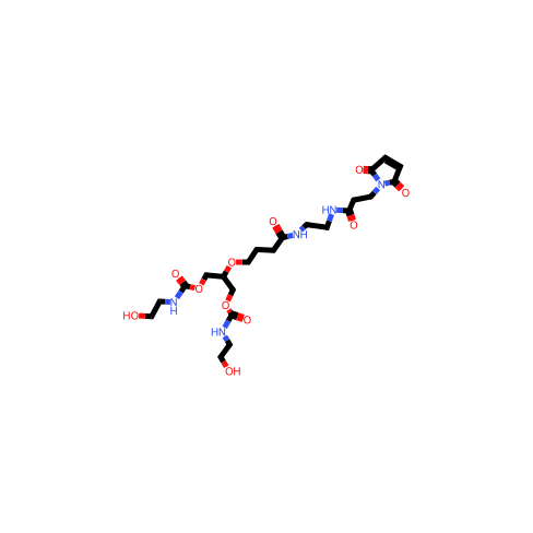 O=C(CCCOC(COC(=O)NCCO)COC(=O)NCCO)NCCNC(=O)CCN1C(=O)C=CC1=O